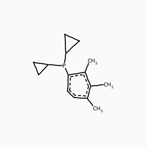 Cc1ccc(P(C2CC2)C2CC2)c(C)c1C